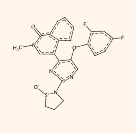 Cn1cc(-c2nc(N3CCC[S+]3[O-])ncc2Oc2ccc(F)cc2F)c2ccccc2c1=O